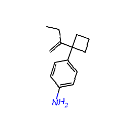 C=C(CC)C1(c2ccc(N)cc2)CCC1